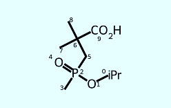 CC(C)OP(C)(=O)CC(C)(C)C(=O)O